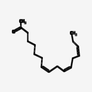 CC/C=C\C/C=C\C/C=C\CCCCCC(C)=O